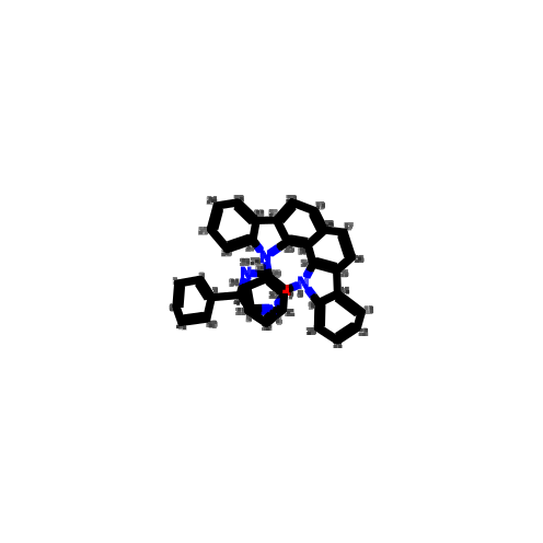 c1ccc(-c2cnc(-n3c4ccccc4c4ccc5ccc6c7ccccc7n(-c7ccccc7)c6c5c43)cn2)cc1